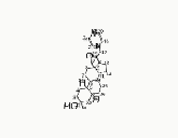 C[C@@]1(O)CC[C@@H]2C3CC[C@@]4(C)C(CC[C@@H]4C(=O)CN4C=C=NC=C4)C3CC[C@H]2C1